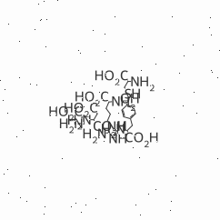 N=C(N)NCCCC(N)C(=O)O.NC(CC(=O)O)C(=O)O.NC(CS)C(=O)O.NC(Cc1ccc(O)cc1)C(=O)O.NCC(=O)O